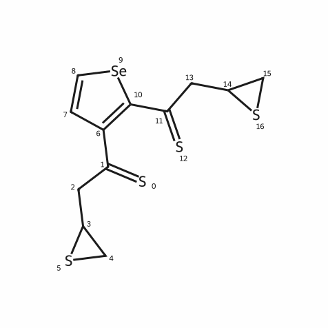 S=C(CC1CS1)c1cc[se]c1C(=S)CC1CS1